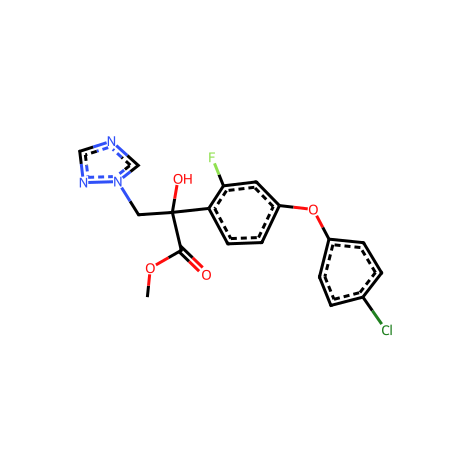 COC(=O)C(O)(Cn1cncn1)c1ccc(Oc2ccc(Cl)cc2)cc1F